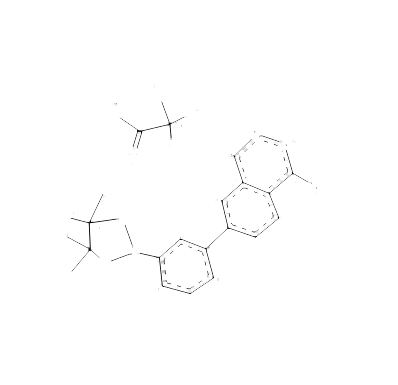 CC1(C)OB(c2cccc(-c3ccc4c(N)nncc4c3)c2)OC1(C)C.O=C(O)C(F)(F)F